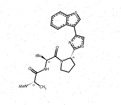 CN[C@@H](C)C(=O)N[C@H](C(=O)N1CCC[C@H]1c1nc(-c2csc3ccccc23)cs1)C(C)(C)C